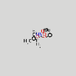 Cc1cc(C)c(OC[C@H](COCc2ccccc2)NC(=O)OC(C)(C)C)c(C)c1